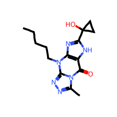 CCCCCn1c2nc(C3(O)CC3)[nH]c2c(=O)n2c(C)nnc12